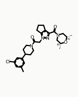 Cc1cc(Cl)cc(C2CCN(C(=O)Cn3nc(C(=O)N4C[C@@H](C)O[C@@H](C)C4)c4c3CCC4)CC2)c1